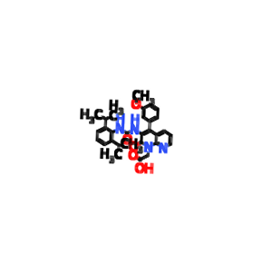 COc1cccc(-c2c(NC(=O)Nc3c(C(C)C)cccc3C(C)C)c(=O)n(CC(=O)O)c3ncccc23)c1